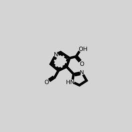 O=Cc1cncc(C(=O)O)c1C1=NCCN1